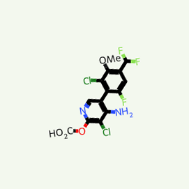 COc1c(C(F)F)cc(F)c(-c2cnc(OC(=O)O)c(Cl)c2N)c1Cl